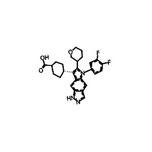 O=C(O)[C@H]1CC[C@H](c2c(C3CCCOC3)n(-c3ccc(F)c(F)c3)c3cc4cn[nH]c4cc32)CC1